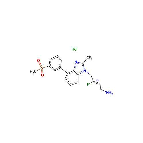 CS(=O)(=O)c1cccc(-c2cccc3c2nc(C(F)(F)F)n3C/C(F)=C/CN)c1.Cl